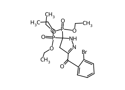 CCOP(=O)(OCC)C1(P(=O)(OCC)OCC)CC(C(=O)c2ccccc2Br)=NN1